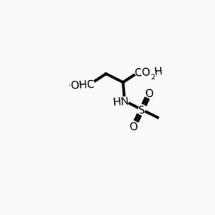 CS(=O)(=O)NC(C[C]=O)C(=O)O